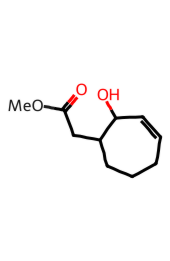 COC(=O)CC1CCCC=CC1O